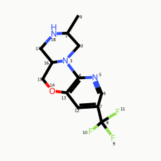 CC1CN2c3ncc(C(F)(F)F)cc3OCC2CN1